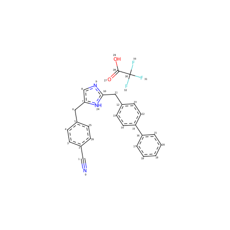 N#Cc1ccc(Cc2cnc(Cc3ccc(-c4ccccc4)cc3)[nH]2)cc1.O=C(O)C(F)(F)F